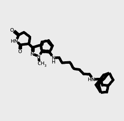 Cn1nc(C2CCC(=O)NC2=O)c2cccc(NCCCCCCCNC34CC5CC(CC(C5)C3)C4)c21